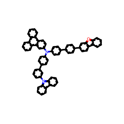 c1cc(-c2ccc(N(c3ccc(-c4ccc(-c5ccc6c(c5)oc5ccccc56)cc4)cc3)c3ccc4c5ccccc5c5ccccc5c4c3)cc2)cc(-n2c3ccccc3c3ccccc32)c1